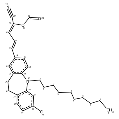 CCCCCCCCCCN1c2ccc(/C=C/C=C(/C#N)OC=O)cc2CCc2ccc(Cl)cc21